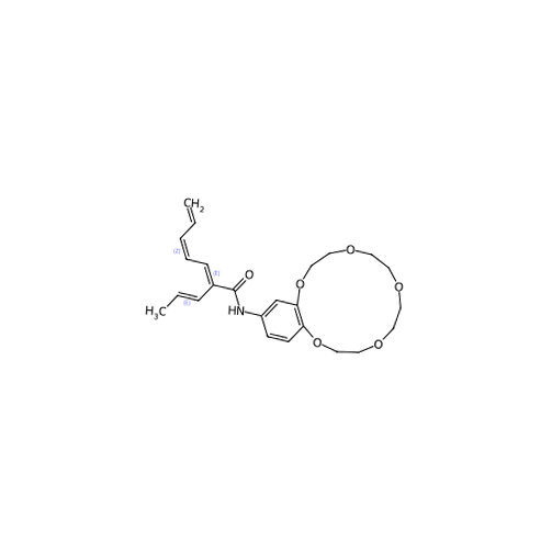 C=C\C=C/C=C(\C=C\C)C(=O)Nc1ccc2c(c1)OCCOCCOCCOCCO2